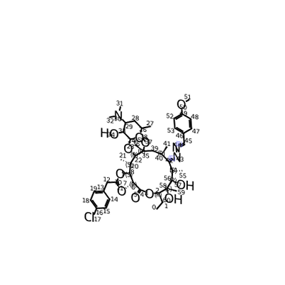 CC[C@H]1OC(=O)[C@H](C)[C@@H](OC(=O)Cc2ccc(Cl)cc2)[C@H](C)[C@@H](OC2OC(C)CC(N(C)C)C2O)[C@](C)(OC)C[C@@H](C)/C(=N\N=C\c2ccc(OC)cc2)[C@H](C)[C@@H](O)[C@]1(C)O